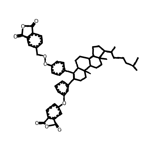 CC(C)CCCC(C)C1CCC2C3CCC4C(c5ccc(OOCc6ccc7c(c6)C(=O)OC7=O)cc5)C(c5cccc(Oc6ccc7c(c6)C(=O)OC7=O)c5)CCC4(C)C3CCC12C